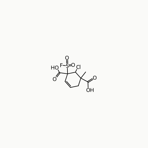 CC1(C(=O)O)CC=CC(C(=O)O)(S(=O)(=O)F)C1Cl